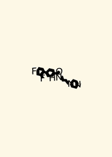 CN1CCN(CCCCNC(=O)c2ccc(-c3ccc(F)cc3F)cc2)CC1